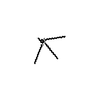 [CH2]CCc1cc(SCCCCCCCCCCCCCCCC)c(SCCCCCCCCCCCCCCCC)c(SCCCCCCCCCCCCCCCC)c1